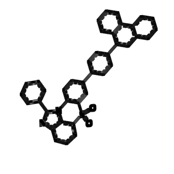 O=S1(=O)c2cc(-c3ccc(-c4cc5ccccc5c5ccccc45)cc3)ccc2-n2c(-c3ccccc3)nc3cccc1c32